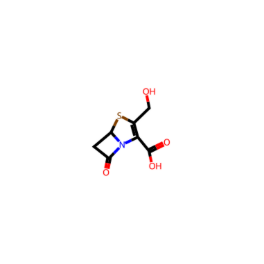 O=C(O)C1=C(CO)SC2CC(=O)N12